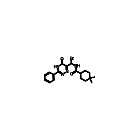 CCC(NC(=O)C1CCC(C)(C)CC1)c1nnc(-c2ccccc2)[nH]c1=O